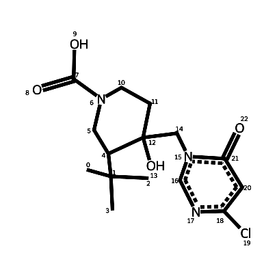 CC(C)(C)C1CN(C(=O)O)CCC1(O)Cn1cnc(Cl)cc1=O